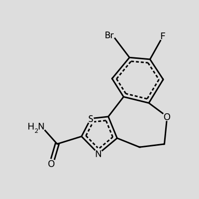 NC(=O)c1nc2c(s1)-c1cc(Br)c(F)cc1OCC2